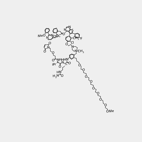 COCCOCCOCCOCCOCCOCCOCCOCCOCCCc1cc(NC(=O)[C@H](CCCNC(N)=O)NC(=O)[C@@H](NC(=O)CCOCCN2C(=O)C=CC2=O)C(C)C)ccc1C[N+]1(C)CCN(CCOc2ccc(-c3c(-c4ccc(F)cc4)sc4ncnc(O[C@H](Cc5ccccc5OCc5ccnc(-c6ccccc6OC)n5)C(=O)[O-])c34)c(C)c2Cl)CC1